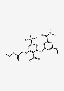 CCOC(=O)COc1nc(S(C)(=O)=O)nc(Oc2cc(OC)cc(C(=O)N(C)C)c2)c1[N+](=O)[O-]